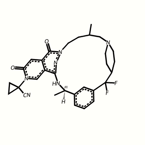 CC1CCn2nc(c3cn(C4(C#N)CC4)c(=O)cc3c2=O)N[C@H](C)c2cccc(c2)C(F)(F)C2CCN(CC2)C1